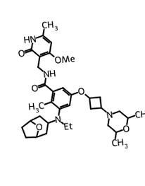 CCN(c1cc(OC2CC(N3CC(C)OC(C)C3)C2)cc(C(=O)NCc2c(OC)cc(C)[nH]c2=O)c1C)C1CC2CCC(C1)O2